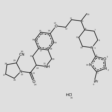 CC(C)c1noc(N2CCC(C(C)CCOc3ccc4c(c3)CNC(C(=O)N3CCCC3C#N)C4)CC2)n1.Cl